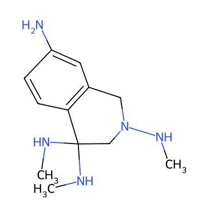 CNN1Cc2cc(N)ccc2C(NC)(NC)C1